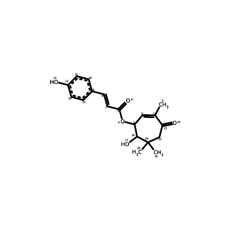 CC1=CC(OC(=O)/C=C/c2ccc(O)cc2)C(O)C(C)(C)CC1=O